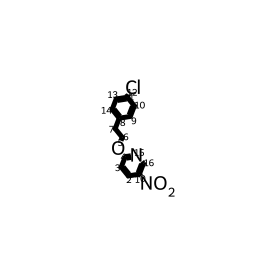 O=[N+]([O-])c1ccc(OCCc2ccc(Cl)cc2)nc1